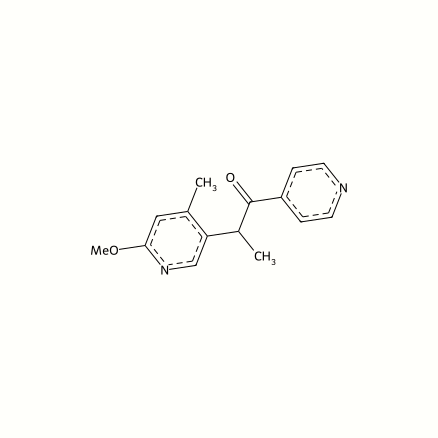 COc1cc(C)c(C(C)C(=O)c2ccncc2)cn1